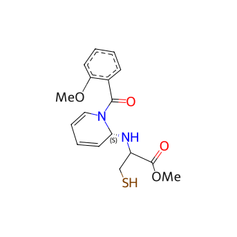 COC(=O)C(CS)N[C@@H]1C=CC=CN1C(=O)c1ccccc1OC